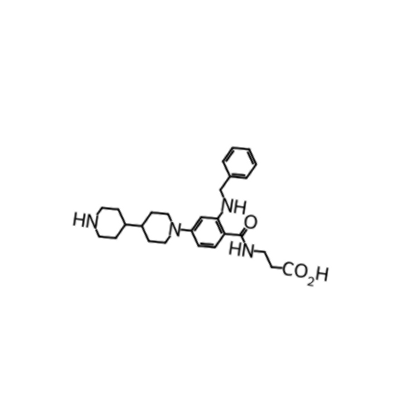 O=C(O)CCNC(=O)c1ccc(N2CCC(C3CCNCC3)CC2)cc1NCc1ccccc1